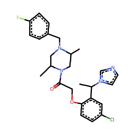 CC1CN(C(=O)COc2ccc(Cl)cc2C(C)n2ccnc2)C(C)CN1Cc1ccc(F)cc1